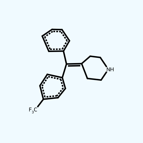 FC(F)(F)c1ccc(C(=C2CCNCC2)c2ccccc2)cc1